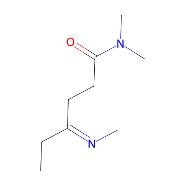 CCC(CCC(=O)N(C)C)=NC